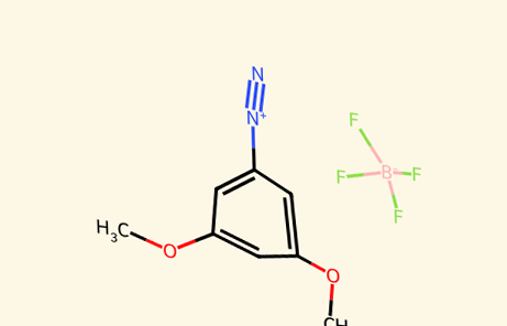 COc1cc([N+]#N)cc(OC)c1.F[B-](F)(F)F